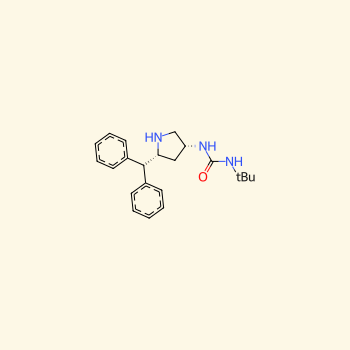 CC(C)(C)NC(=O)N[C@H]1CN[C@@H](C(c2ccccc2)c2ccccc2)C1